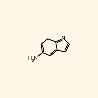 NC1=CCC2=NC=CC2=C1